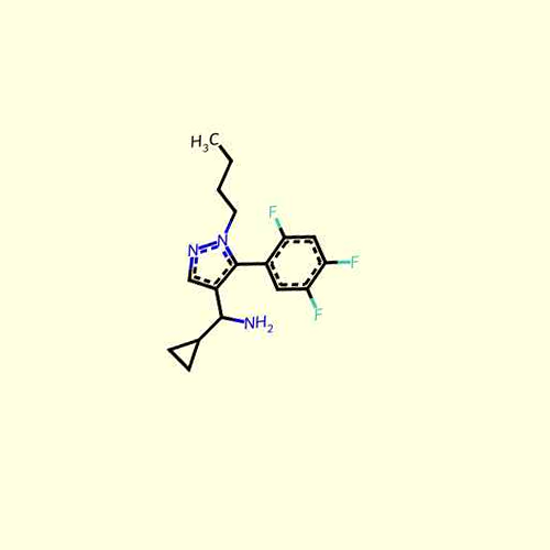 CCCCn1ncc(C(N)C2CC2)c1-c1cc(F)c(F)cc1F